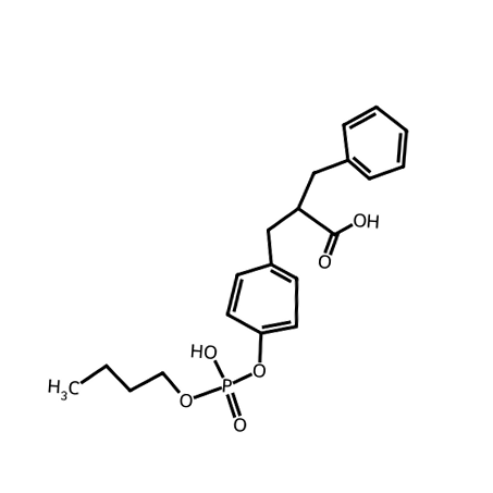 CCCCOP(=O)(O)Oc1ccc(CC(Cc2ccccc2)C(=O)O)cc1